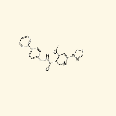 COc1cc(-n2cccn2)ncc1C(=O)NCc1ccc(-c2ccccc2)cc1